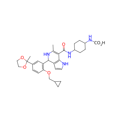 CC1=C(C(=O)NC2CCC(NC(=O)O)CC2)c2[nH]ccc2C(c2cc(C3(C)OCCO3)ccc2OCC2CC2)N1